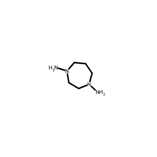 NN1CCCN(N)CC1